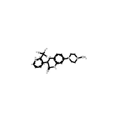 CN1CCN(c2ccc3c(c2)OC(=O)C(c2cccnc2C(F)(F)F)C3)CC1